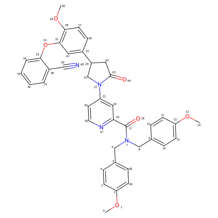 COc1ccc(CN(Cc2ccc(OC)cc2)C(=O)c2cc(N3CC(c4ccc(OC)c(Oc5ccccc5C#N)c4)CC3=O)ccn2)cc1